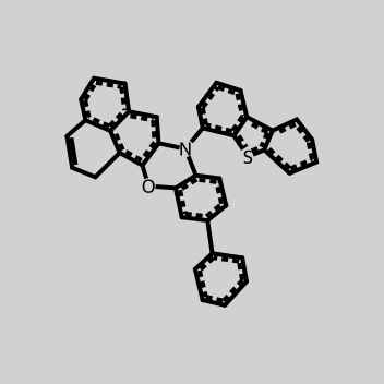 C1=Cc2cccc3cc4c(c(c23)C1)Oc1cc(-c2ccccc2)ccc1N4c1cccc2c1sc1ccccc12